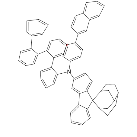 c1ccc(-c2ccccc2-c2ccccc2-c2ccccc2N(c2ccc(-c3ccc4ccccc4c3)cc2)c2ccc3c(c2)-c2ccccc2C32C3CCC4CCC2CC4C3)cc1